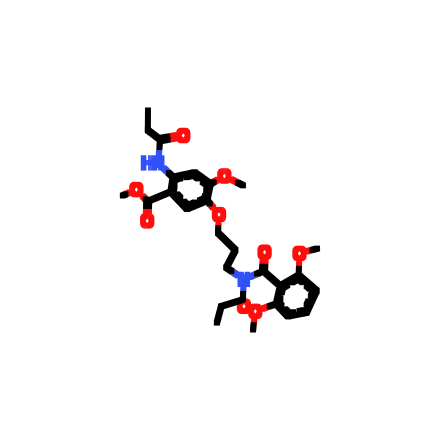 CCC(=O)Nc1cc(OC)c(OCCCN(C(=O)CC)C(=O)c2c(OC)cccc2OC)cc1C(=O)OC